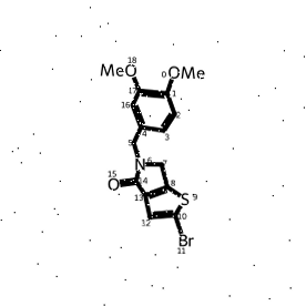 COc1ccc(CN2Cc3sc(Br)cc3C2=O)cc1OC